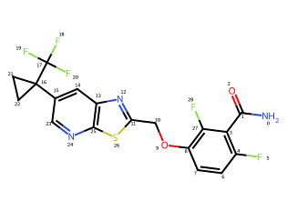 NC(=O)c1c(F)ccc(OCc2nc3cc(C4(C(F)(F)F)CC4)cnc3s2)c1F